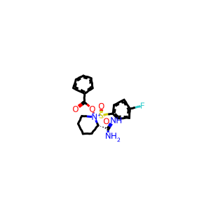 N=C(N)[C@@H]1CCCC[N+]1(OC(=O)c1ccccc1)S(=O)(=O)c1ccc(F)cc1